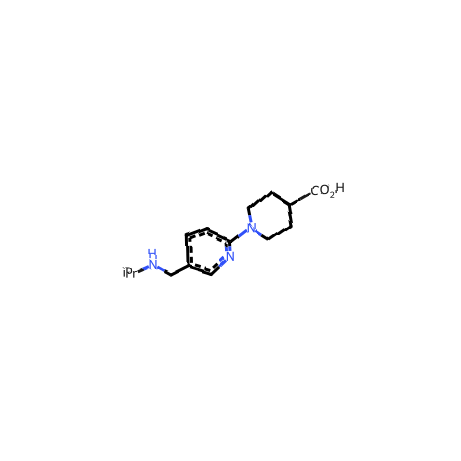 CC(C)NCc1ccc(N2CCC(C(=O)O)CC2)nc1